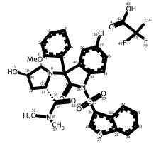 COc1ccccc1C1(N2C[C@H](O)C[C@H]2C(=O)N(C)C)C(=O)N(S(=O)(=O)c2csc3ccccc23)c2ccc(Cl)cc21.O=C(O)C(F)(F)F